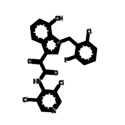 O=C(Nc1c(Cl)cncc1Cl)C(=O)c1cn(Cc2c(F)cccc2Cl)c2c(O)cccc12